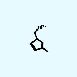 CCCCC1[C]=CC(C)=C1